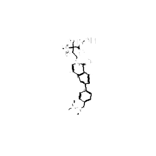 CN(C)N(C)Cc1ccc(-c2ccc3c(=O)n(CCC(C)(C(=O)NO)S(C)(=O)=O)ccc3c2)cc1